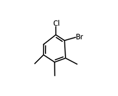 Cc1cc(Cl)c(Br)c(C)c1C